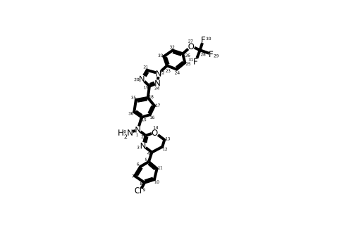 NN(C1=NC(c2ccc(Cl)cc2)CCO1)c1ccc(-c2ncn(-c3ccc(OC(F)(F)F)cc3)n2)cc1